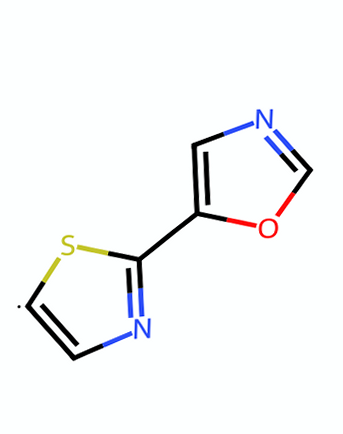 [c]1cnc(-c2cnco2)s1